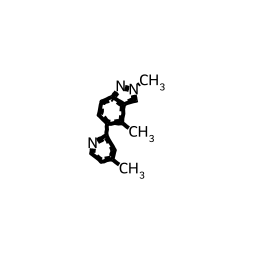 Cc1ccnc(-c2ccc3nn(C)cc3c2C)c1